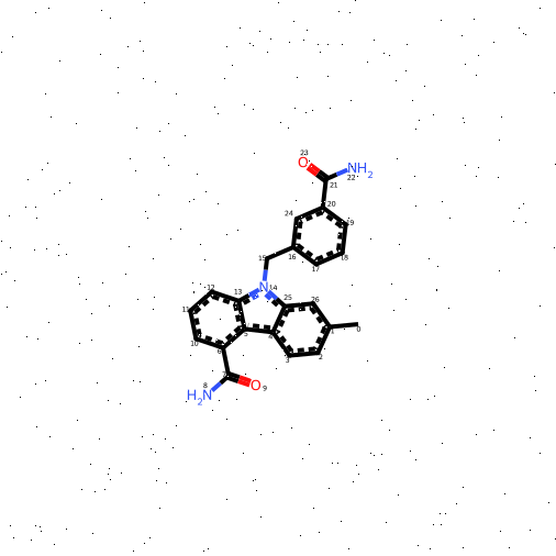 Cc1c[c]c2c3c(C(N)=O)cccc3n(Cc3cccc(C(N)=O)c3)c2c1